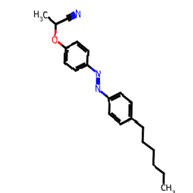 CCCCCCc1ccc(N=Nc2ccc(OC(C)C#N)cc2)cc1